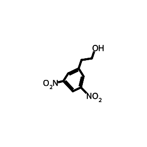 O=[N+]([O-])c1cc(CCO)cc([N+](=O)[O-])c1